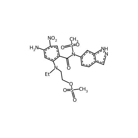 CCN(CCOS(C)(=O)=O)c1cc(N)c([N+](=O)[O-])cc1C(=O)N(c1ccc2cn[nH]c2c1)S(C)(=O)=O